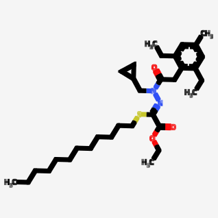 CCCCCCCCCCCCSC(=NN(CC1CC1)C(=O)Cc1c(CC)cc(C)cc1CC)C(=O)OCC